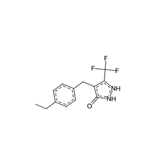 CCc1ccc(Cc2c(C(F)(F)F)[nH][nH]c2=O)cc1